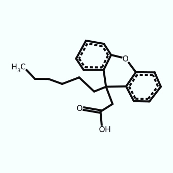 CCCCCCC1(CC(=O)O)c2ccccc2Oc2ccccc21